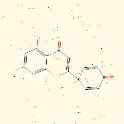 O=C1C=CC(O)(c2cc(=O)c3c(O)cc(O)cc3o2)C=C1